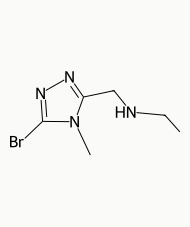 CCNCc1nnc(Br)n1C